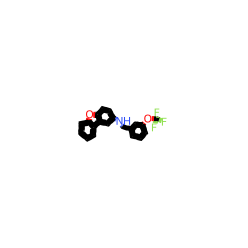 FC(F)(F)Oc1cccc(CNc2ccc3oc4ccccc4c3c2)c1